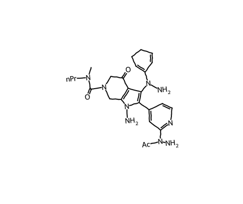 CCCN(C)C(=O)N1CC(=O)c2c(N(N)C3=CCCC=C3)c(-c3ccnc(N(N)C(C)=O)c3)n(N)c2C1